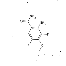 COc1c(F)cc(C(N)=O)c(N)c1F